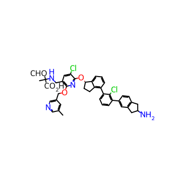 Cc1cncc(COc2nc(O[C@H]3CCc4c(-c5cccc(-c6ccc7c(c6)CC(N)C7)c5Cl)cccc43)c(Cl)cc2CNC(C)(C=O)C(=O)O)c1